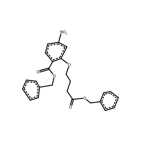 O=C(CCCOc1cc([N+](=O)[O-])ccc1C(=O)OCc1ccccc1)OCc1ccccc1